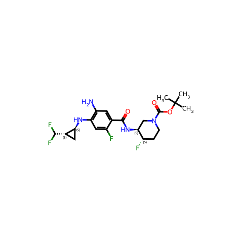 CC(C)(C)OC(=O)N1CC[C@H](F)[C@@H](NC(=O)c2cc(N)c(N[C@H]3C[C@@H]3C(F)F)cc2F)C1